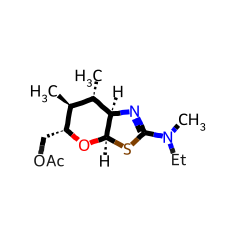 CCN(C)C1=N[C@@H]2[C@@H](C)[C@H](C)[C@@H](COC(C)=O)O[C@@H]2S1